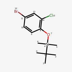 CC(C)(C)[Si](C)(C)Oc1ccc(Br)cc1Cl